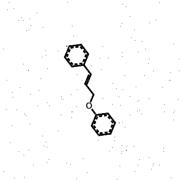 [c]1ccc(C=CCOc2ccccc2)cc1